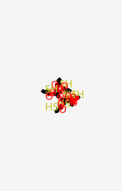 CCC(S)C(=O)OCC(COCC(COC(=O)C(S)CC)(COC(=O)C(S)CC)COC(=O)C(S)CC)(COC(=O)C(S)CC)COC(=O)C(S)CC